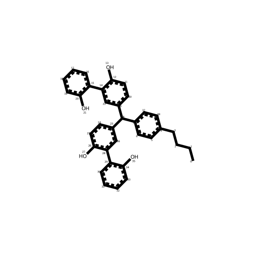 CCCCc1ccc(C(c2ccc(O)c(-c3ccccc3O)c2)c2ccc(O)c(-c3ccccc3O)c2)cc1